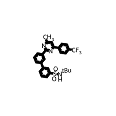 Cc1cc(-c2ccc(C(F)(F)F)cc2)nc(-c2cccc(-c3cccc(S(=O)(=O)NC(C)(C)C)c3)c2)n1